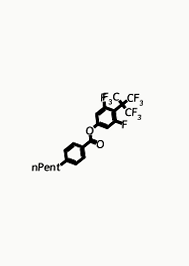 CCCCCc1ccc(C(=O)Oc2cc(F)c(C(C(F)(F)F)(C(F)(F)F)C(F)(F)F)c(F)c2)cc1